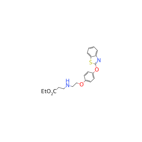 CCOC(=O)CCNCCOc1ccc(Oc2nc3ccccc3s2)cc1